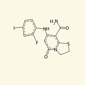 NC(=O)c1c(Nc2ccc(I)cc2F)cc(=O)n2c1SCC2